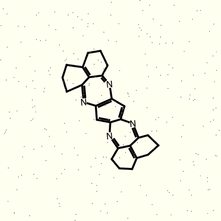 c1c2c(cc3c1N=C1CCCC4=C1C(=N3)CCC4)N=C1CCCC3=C1C(=N2)CCC3